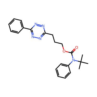 CC(C)(C)N(C(=O)OCCCc1nnc(-c2ccccc2)nn1)c1ccccc1